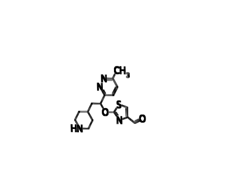 Cc1ccc(C(CC2CCNCC2)Oc2nc(C=O)cs2)nn1